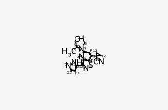 C[C@@H]1COCCN1c1cc(C2(C#N)CC2)c2snc(-c3ccn[nH]3)c2n1